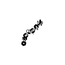 Cc1nc(-c2ccc(N3C[C@@H](C)N(CC(=O)N4CCc5nn(-c6ccccc6)cc5C4)[C@@H](C)C3)nc2)no1